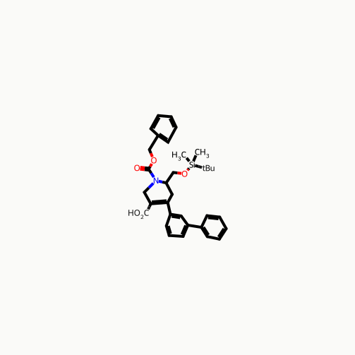 CC(C)(C)[Si](C)(C)OCC1CC(c2cccc(-c3ccccc3)c2)=C(C(=O)O)CN1C(=O)OCc1ccccc1